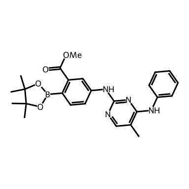 COC(=O)c1cc(Nc2ncc(C)c(Nc3ccccc3)n2)ccc1B1OC(C)(C)C(C)(C)O1